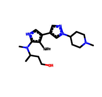 CNc1c(-c2cnn(C3CCN(C)CC3)c2)c[nH]c1N(C)C(C)CCO